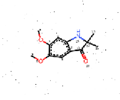 COc1cc2c(cc1OC)C(=O)C(C)(C)N2